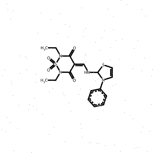 CCN1C(=O)C(=CNC2SC=CN2c2ccccc2)C(=O)N(CC)S1(=O)=O